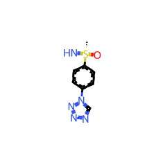 C[S@](=N)(=O)c1ccc(-n2cnnn2)cc1